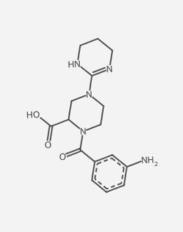 Nc1cccc(C(=O)N2CCN(C3=NCCCN3)CC2C(=O)O)c1